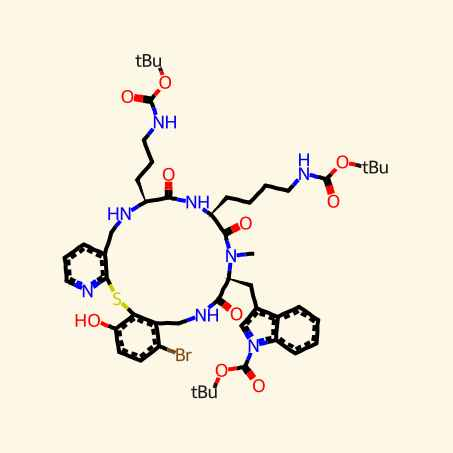 CN1C(=O)[C@H](CCCCNC(=O)OC(C)(C)C)NC(=O)[C@H](CCCNC(=O)OC(C)(C)C)NCc2cccnc2Sc2c(O)ccc(Br)c2CNC(=O)[C@@H]1Cc1cn(C(=O)OC(C)(C)C)c2ccccc12